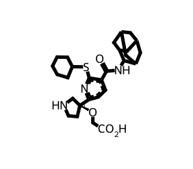 O=C(O)CO[C@@]1(c2ccc(C(=O)NC3C4CC5CC(C4)CC3C5)c(SC3CCCCC3)n2)CCNC1